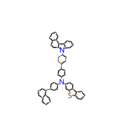 C1=C(c2ccc(N(c3ccc(-c4cccc5ccccc45)cc3)c3ccc4c(c3)sc3ccccc34)cc2)CCC(n2c3ccccc3c3c4ccccc4ccc32)=C1